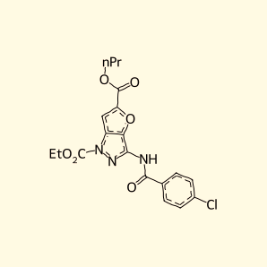 CCCOC(=O)c1cc2c(o1)c(NC(=O)c1ccc(Cl)cc1)nn2C(=O)OCC